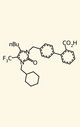 CCCCc1c(C(F)(F)F)n(CC2CCCCC2)c(=O)n1Cc1ccc(-c2ccccc2C(=O)O)cc1